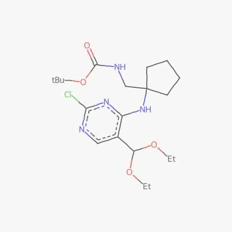 CCOC(OCC)c1cnc(Cl)nc1NC1(CNC(=O)OC(C)(C)C)CCCC1